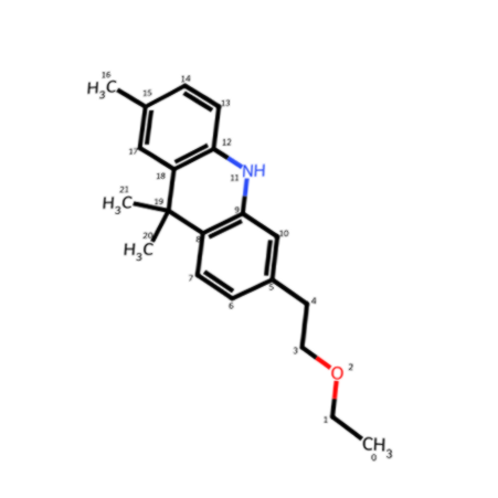 CCOCCc1ccc2c(c1)Nc1ccc(C)cc1C2(C)C